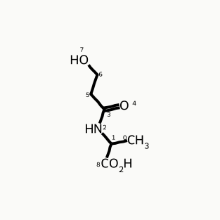 CC(NC(=O)CCO)C(=O)O